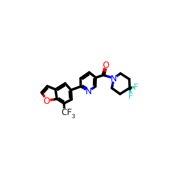 O=C(c1ccc(-c2cc(C(F)(F)F)c3occc3c2)nc1)N1CCC(F)(F)CC1